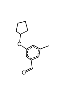 Cc1cc(C=O)cc(OC2CCCC2)c1